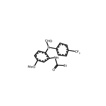 CCC(=O)Nc1cc(OC)ccc1N(C=O)c1ccc(C(F)(F)F)cc1